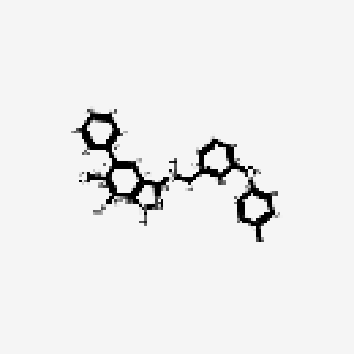 Cc1ccc(Oc2cccc(CNc3n[nH]c4c(F)c(Cl)c(-c5ccccc5)cc34)c2)cc1